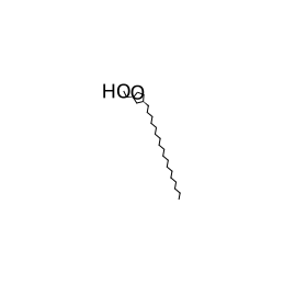 CCCCCCCCCCCCCCCCCC[C@@H]1CO[C@H](CO)C1